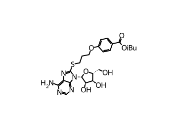 CC(C)COC(=O)c1ccc(OCCCSc2nc3c(N)ncnc3n2[C@@H]2O[C@H](CO)[C@@H](O)[C@H]2O)cc1